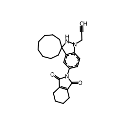 C#CCN1NC2(CCCCCCCC2)c2cc(N3C(=O)C4=C(CCCC4)C3=O)ccc21